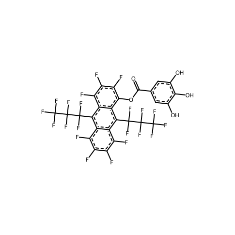 O=C(Oc1c(F)c(F)c(F)c2c(C(F)(F)C(F)(F)C(F)(F)F)c3c(F)c(F)c(F)c(F)c3c(C(F)(F)C(F)(F)C(F)(F)F)c12)c1cc(O)c(O)c(O)c1